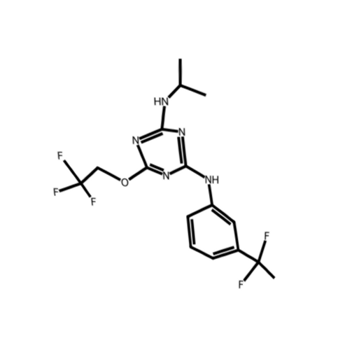 CC(C)Nc1nc(Nc2cccc(C(C)(F)F)c2)nc(OCC(F)(F)F)n1